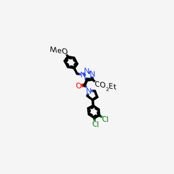 CCOC(=O)c1nnn(Cc2ccc(OC)cc2)c1C(=O)N1CCC(c2ccc(Cl)c(Cl)c2)C1